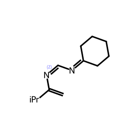 C=C(/N=C\N=C1CCCCC1)C(C)C